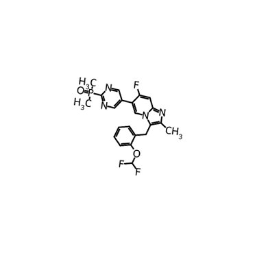 Cc1nc2cc(F)c(-c3cnc(P(C)(C)=O)nc3)cn2c1Cc1ccccc1OC(F)F